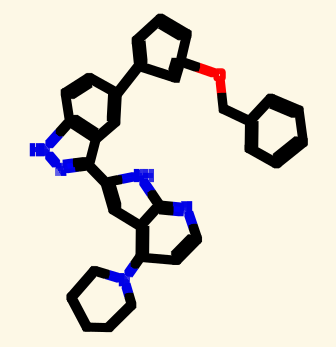 c1ccc(COc2cccc(-c3ccc4[nH]nc(-c5cc6c(N7CCCCC7)ccnc6[nH]5)c4c3)c2)cc1